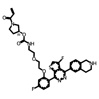 C=CC(=O)N1CC[C@H](OC(=O)NCCOCCOc2cc(F)ccc2-c2nnc(-c3ccc4c(c3)CCNC4)c3c(F)csc23)C1